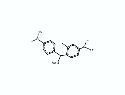 CCCN(C)c1ccc(C(OC)c2ccc(N(CC)CC)cc2C)cc1